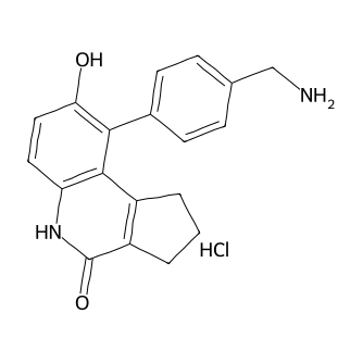 Cl.NCc1ccc(-c2c(O)ccc3[nH]c(=O)c4c(c23)CCC4)cc1